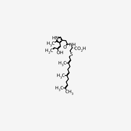 C=C/C(O)=C\c1c(CC(=O)N[C@@H](CSC/C=C(\C)CC/C=C(\C)CCC=C(C)C)C(=O)O)c[nH]c1C